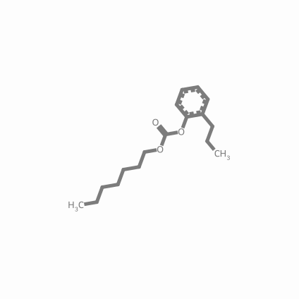 CCCCCCCOC(=O)Oc1ccccc1CCC